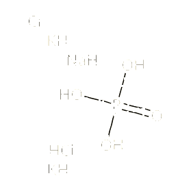 Cl.O=P(O)(O)O.[Cr].[KH].[KH].[NaH]